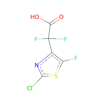 O=C(O)C(F)(F)c1nc(Cl)sc1F